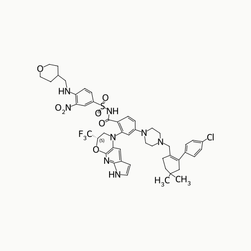 CC1(C)CCC(CN2CCN(c3ccc(C(=O)NS(=O)(=O)c4ccc(NCC5CCOCC5)c([N+](=O)[O-])c4)c(N4C[C@@H](C(F)(F)F)Oc5nc6[nH]ccc6cc54)c3)CC2)=C(c2ccc(Cl)cc2)C1